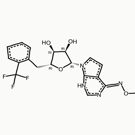 CON=c1nc[nH]c2c1ccn2[C@@H]1O[C@H](Cc2ccccc2C(F)(F)F)[C@@H](O)[C@H]1O